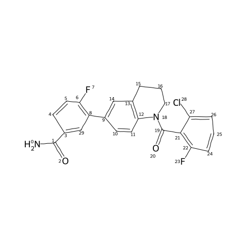 NC(=O)c1ccc(F)c(-c2ccc3c(c2)CCCN3C(=O)c2c(F)cccc2Cl)c1